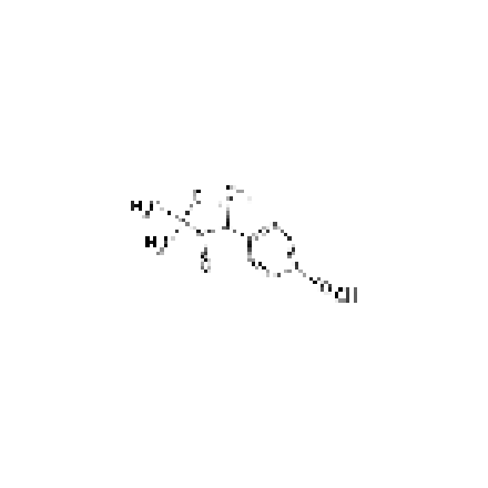 C#Cc1ccc(C(C)C(=O)C(C)(C)C)cc1